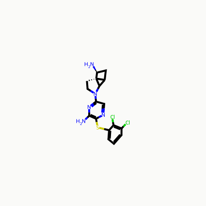 Nc1nc(N2CC[C@@]34C(C[C@@H]3N)C24)cnc1Sc1cccc(Cl)c1Cl